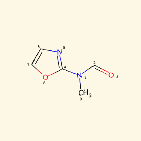 CN(C=O)c1ncco1